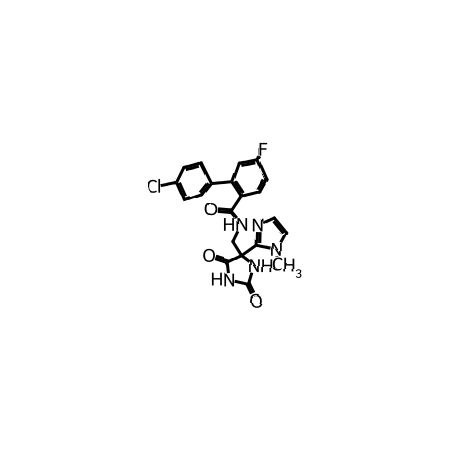 Cn1ccnc1C1(CNC(=O)c2ccc(F)cc2-c2ccc(Cl)cc2)NC(=O)NC1=O